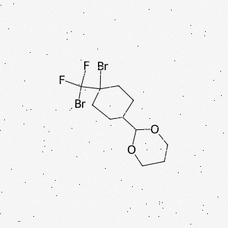 FC(F)(Br)C1(Br)CCC(C2OCCCO2)CC1